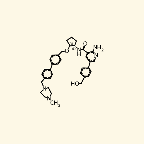 CN1CCN(Cc2ccc(-c3ccc(CO[C@H]4CCC[C@@H]4NC(=O)c4cc(-c5ccc(CO)cc5)cnc4N)cc3)cc2)CC1